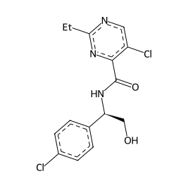 CCc1ncc(Cl)c(C(=O)N[C@@H](CO)c2ccc(Cl)cc2)n1